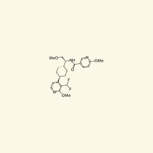 COC[C@@H](NC(=O)c1ccc(OC)nc1)[C@H]1CC[C@H](c2ccnc(OC)c2C(F)F)CC1